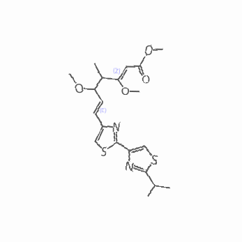 COC(=O)/C=C(\OC)C(C)C(/C=C/c1csc(-c2csc(C(C)C)n2)n1)OC